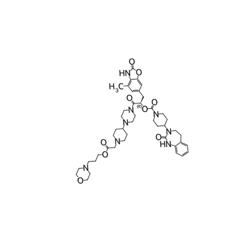 Cc1cc(C[C@@H](OC(=O)N2CCC(N3CCc4ccccc4NC3=O)CC2)C(=O)N2CCN(C3CCN(CC(=O)OCCCN4CCOCC4)CC3)CC2)cc2oc(=O)[nH]c12